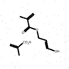 C=C(C)C(=O)O.C=C(C)C(=O)OCC=CO